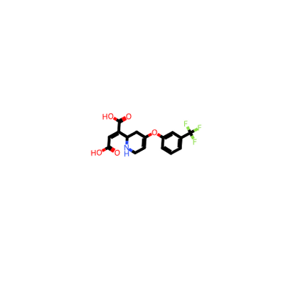 O=C(O)/C=C(/C(=O)O)C1CC(Oc2cccc(C(F)(F)F)c2)=CCN1